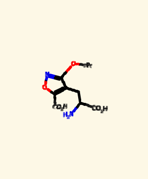 CCCOc1noc(C(=O)O)c1CC(N)C(=O)O